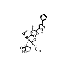 O=C(N[C@@H](CC1CC1)C(=O)N[C@@H](C[C@@H]1CCNC1=O)C(=O)COC(F)(F)F)c1cc(-c2ccccc2)n[nH]1